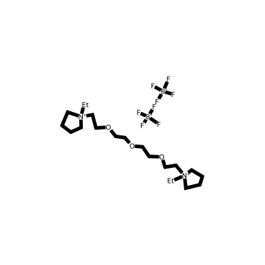 CC[N+]1(CCOCCOCCOCC[N+]2(CC)CCCC2)CCCC1.F[B-](F)(F)F.F[B-](F)(F)F